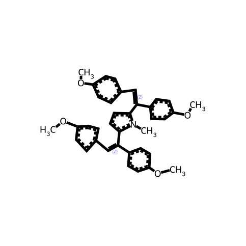 COc1ccc(/C=C(/c2ccc(OC)cc2)c2ccc(/C(=C\c3ccc(OC)cc3)c3ccc(OC)cc3)n2C)cc1